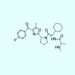 CNC(C)C(=O)N[C@H](C(=O)N1CCCC1c1nc(C(=O)c2ccc(F)cc2)c(C)o1)C1CCCCC1